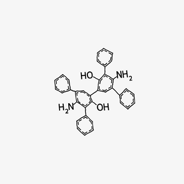 Nc1c(-c2ccccc2)cc(-c2cc(-c3ccccc3)c(N)c(-c3ccccc3)c2O)c(O)c1-c1ccccc1